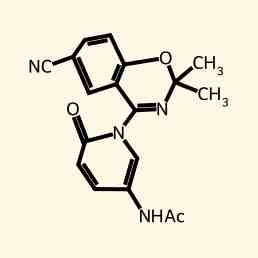 CC(=O)Nc1ccc(=O)n(C2=NC(C)(C)Oc3ccc(C#N)cc32)c1